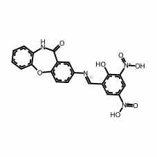 O=C1Nc2ccccc2Oc2ccc(/N=C/c3cc([N+](=O)O)cc([N+](=O)O)c3O)cc21